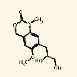 COc1cc2c(cc1CC(O)CO)N(C)C(=O)OC2